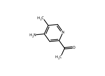 CC(=O)c1cc(N)c(C)cn1